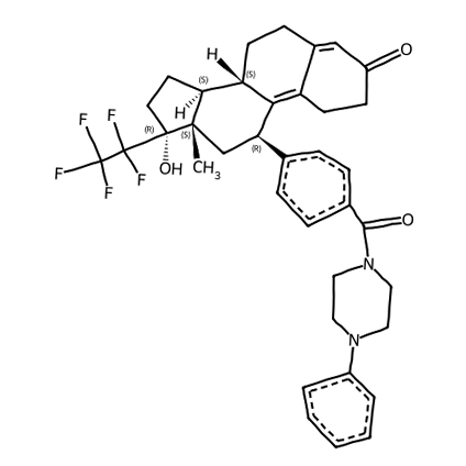 C[C@]12C[C@H](c3ccc(C(=O)N4CCN(c5ccccc5)CC4)cc3)C3=C4CCC(=O)C=C4CC[C@H]3[C@@H]1CC[C@]2(O)C(F)(F)C(F)(F)F